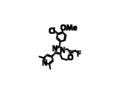 COc1ccc(-c2nc(-c3cc(C)nc(C)c3)c3n2C[C@@H](CF)OCC3)cc1Cl